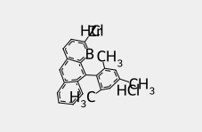 Cc1cc(C)c(-c2c3b[c]([Zr])ccc3cc3ccccc23)c(C)c1.Cl.Cl